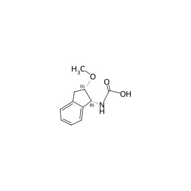 CO[C@H]1Cc2ccccc2[C@H]1NC(=O)O